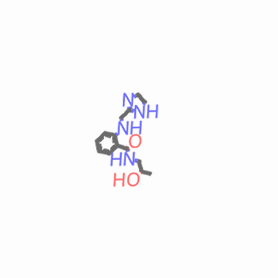 CC(O)CNC(=O)c1ccccc1NCC1=NCCN1